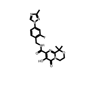 Cc1ncn(-c2ccc(CNC(=O)c3nc4n(c(=O)c3O)CCOC4(C)C)c(F)c2)n1